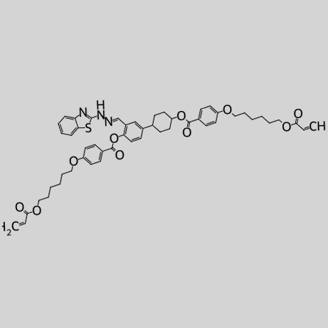 C=CC(=O)OCCCCCCOc1ccc(C(=O)Oc2ccc(C3CCC(OC(=O)c4ccc(OCCCCCCOC(=O)C=C)cc4)CC3)cc2/C=N/Nc2nc3ccccc3s2)cc1